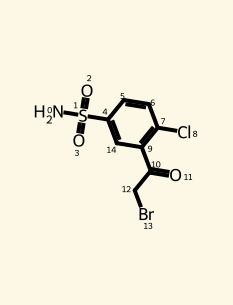 NS(=O)(=O)c1ccc(Cl)c(C(=O)CBr)c1